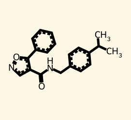 CC(C)c1ccc(CNC(=O)c2cnoc2-c2ccccc2)cc1